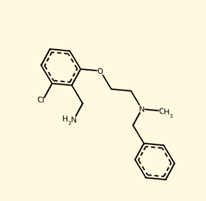 CN(CCOc1cccc(Cl)c1CN)Cc1ccccc1